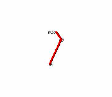 CCCCCCCCC=CCCCCCCCCCC(=O)OCCCCCCCCCCCCCCCCCCCCCCCCCCCCCCCCCCC(C)C